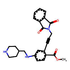 COC(=O)c1ccc(NCC2CCNCC2)cc1C#CCN1C(=O)c2ccccc2C1=O